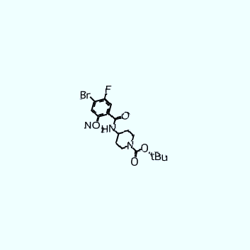 CC(C)(C)OC(=O)N1CCC(NC(=O)c2cc(F)c(Br)cc2[N+](=O)[O-])CC1